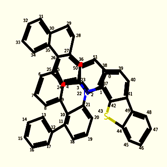 c1ccc(-c2ccccc2-c2c(-c3ccccc3)cccc2N(c2ccc3c(ccc4ccccc43)c2)c2cccc3c2sc2ccccc23)cc1